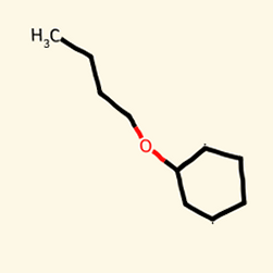 CCCCOC1[CH]CC[CH]C1